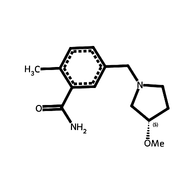 CO[C@H]1CCN(Cc2ccc(C)c(C(N)=O)c2)C1